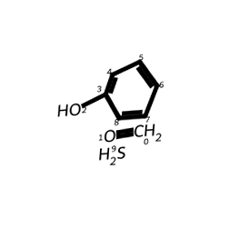 C=O.Oc1ccccc1.S